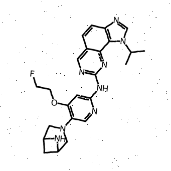 CC(C)n1cnc2ccc3cnc(Nc4cc(OCCF)c(N5CC6CC(C5)N6)cn4)nc3c21